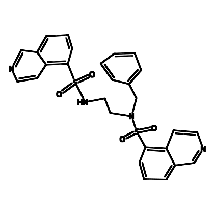 O=S(=O)(NCCN(Cc1ccccc1)S(=O)(=O)c1cccc2cnccc12)c1cccc2cnccc12